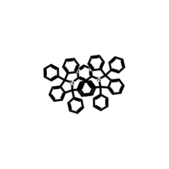 c1ccc(C2(c3ccccc3)c3ccccc3C(c3ccccc3)(c3ccccc3)N2c2cc(N3C(c4ccccc4)(c4ccccc4)c4ccccc4C3(c3ccccc3)c3ccccc3)ncn2)cc1